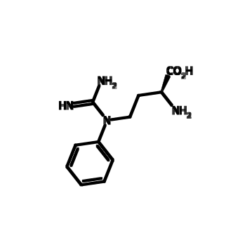 N=C(N)N(CC[C@H](N)C(=O)O)c1ccccc1